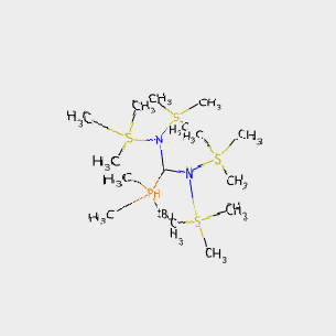 CC(C)(C)[PH](C)(C)C(N(S(C)(C)C)S(C)(C)C)N(S(C)(C)C)S(C)(C)C